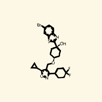 O[C@]1(c2nc3ccc(Br)cc3s2)CC[C@H](OCc2c(C3CCC(F)(F)CC3)noc2C2CC2)CC1